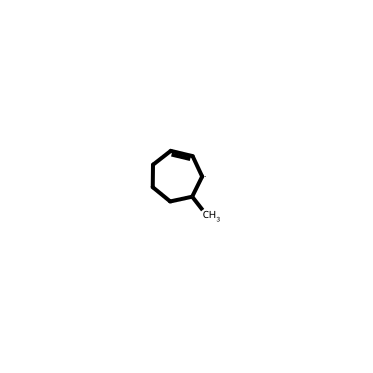 CC1[CH]C=CCCC1